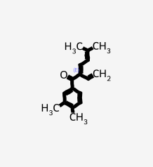 C=C/C(=C\C=C(C)C)C(=O)c1ccc(C)c(C)c1